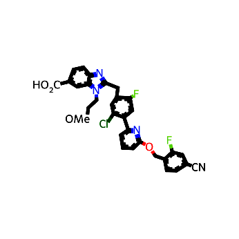 COCCn1c(Cc2cc(Cl)c(-c3cccc(OCc4ccc(C#N)cc4F)n3)cc2F)nc2ccc(C(=O)O)cc21